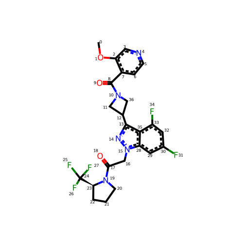 COc1cnccc1C(=O)N1CC(c2nn(CC(=O)N3CCC[C@H]3C(F)(F)F)c3cc(F)cc(F)c23)C1